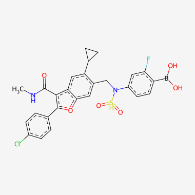 CNC(=O)c1c(-c2ccc(Cl)cc2)oc2cc(CN(c3ccc(B(O)O)c(F)c3)[SH](=O)=O)c(C3CC3)cc12